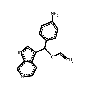 C=COC(c1ccc(N)cc1)c1c[nH]c2cnccc12